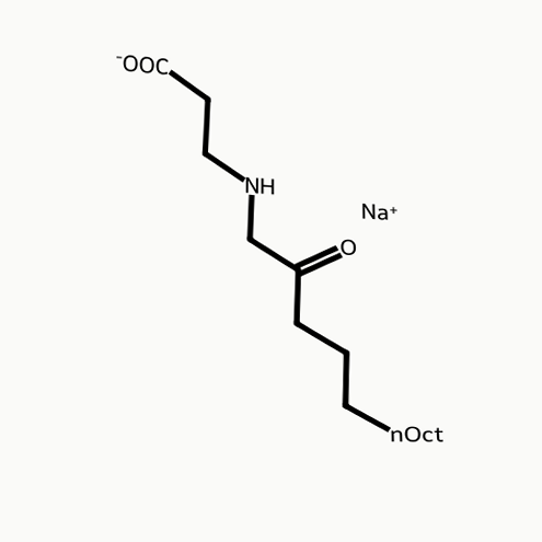 CCCCCCCCCCCC(=O)CNCCC(=O)[O-].[Na+]